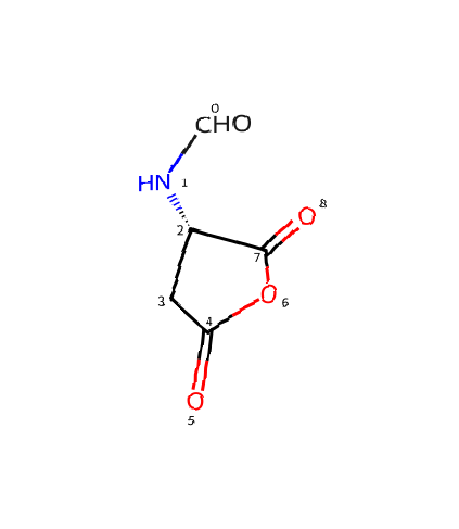 O=CN[C@H]1CC(=O)OC1=O